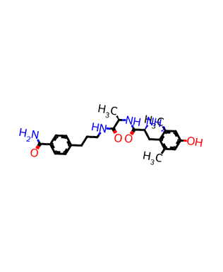 Cc1cc(O)cc(C)c1C[C@H](N)C(=O)N[C@H](C)C(=O)NCCCc1ccc(C(N)=O)cc1